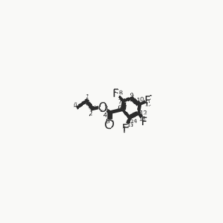 CCCOC(=O)c1c(F)cc(F)c(F)c1F